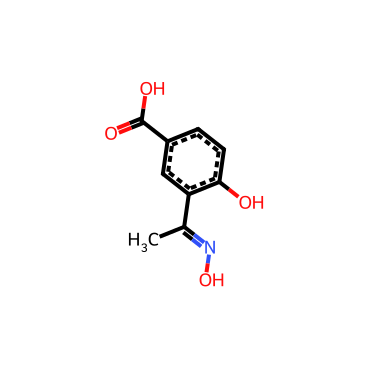 CC(=NO)c1cc(C(=O)O)ccc1O